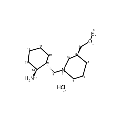 CCOC[C@H]1CCCN(C[C@H]2CCCC[C@@H]2N)C1.Cl